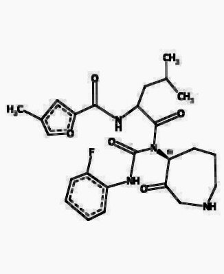 Cc1coc(C(=O)NC(CC(C)C)C(=O)N(C(=O)Nc2ccccc2F)[C@H]2CCCNCC2=O)c1